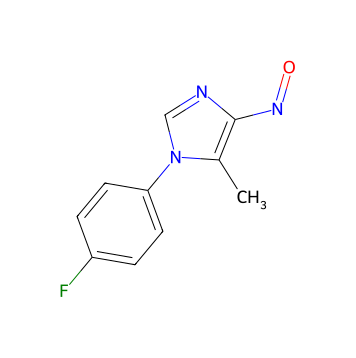 Cc1c(N=O)ncn1-c1ccc(F)cc1